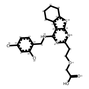 O=C(O)COCCc1nc(NCc2ccc(Cl)cc2Cl)c2c3c(sc2n1)CCCC3